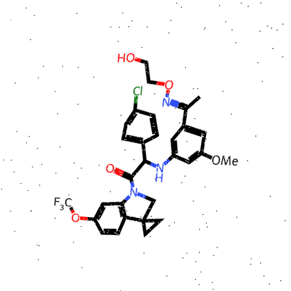 COc1cc(NC(C(=O)N2CC3(CC3)c3ccc(OC(F)(F)F)cc32)c2ccc(Cl)cc2)cc(C(C)=NOCCO)c1